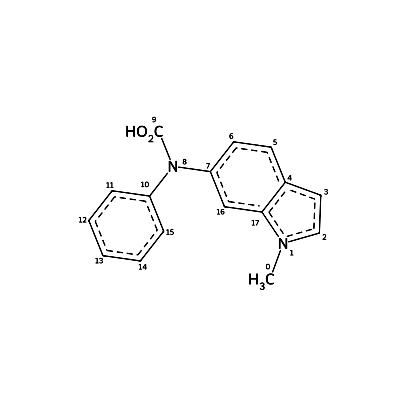 Cn1ccc2ccc(N(C(=O)O)c3ccccc3)cc21